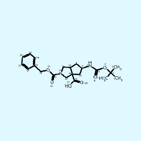 CC(C)(C)OC(=O)NC1CC2CN(C(=O)OCc3ccccc3)CC2(C(=O)O)C1